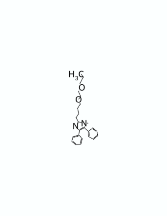 CCCOCCOCCCCC1=NC(c2ccccc2)=C(c2ccccc2)[N]1